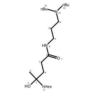 CCCCCCC(C)(O)CCC(=O)NCCCN(CCCC)CCCC